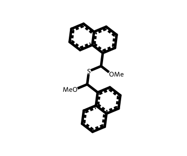 COC(SC(OC)c1cccc2ccccc12)c1cccc2ccccc12